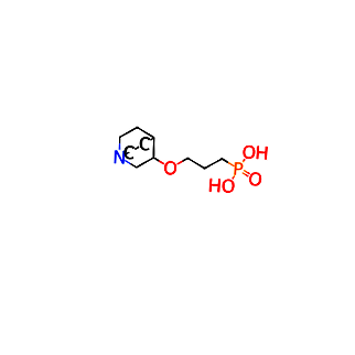 O=P(O)(O)CCCOC1CN2CCC1CC2